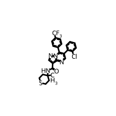 CC1(NC(=O)c2cnn3c(-c4ccc(C(F)(F)F)cc4)c(-c4ccccc4Cl)cnc23)CCSCC1